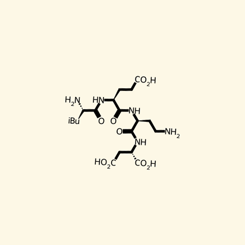 CC[C@H](C)[C@H](N)C(=O)N[C@@H](CCC(=O)O)C(=O)N[C@@H](CCN)C(=O)N[C@@H](CC(=O)O)C(=O)O